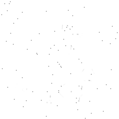 COCCOC(=O)c1ccc2c(c1)ncn2-c1cccc(N2CCN(CC(N)=O)CC2)c1